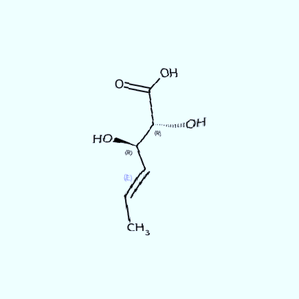 C/C=C/[C@@H](O)[C@@H](O)C(=O)O